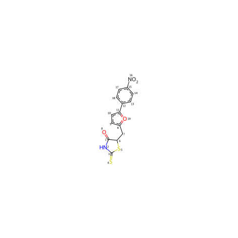 O=C1NC(=S)SC1Cc1ccc(-c2ccc([N+](=O)[O-])cc2)o1